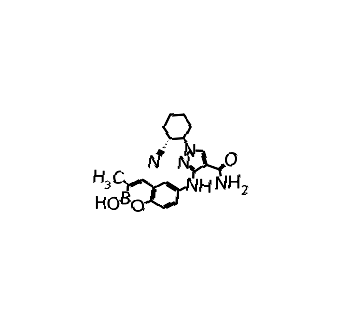 CC1=Cc2cc(Nc3nn([C@@H]4CCCC[C@H]4C#N)cc3C(N)=O)ccc2OB1O